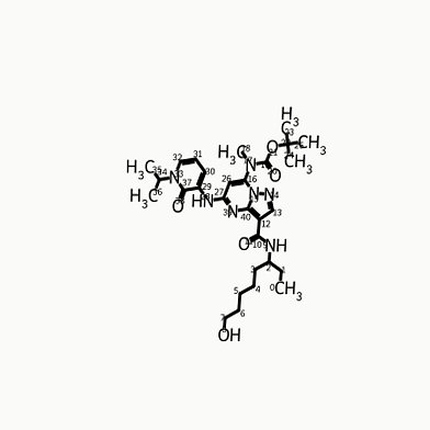 CCC(CCCCCO)NC(=O)c1cnn2c(N(C)C(=O)OC(C)(C)C)cc(Nc3cccn(C(C)C)c3=O)nc12